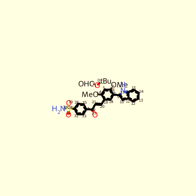 CC(C)(C)OC=O.COc1cc(OC)c(-c2cc3ccccc3[nH]2)cc1/C=C/C(=O)c1ccc(S(N)(=O)=O)cc1